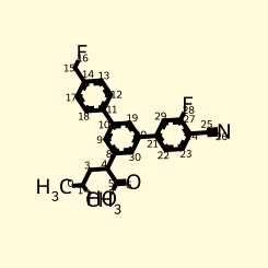 CC(C)CC(C(=O)O)c1cc(-c2ccc(CF)cc2)cc(-c2ccc(C#N)c(F)c2)c1